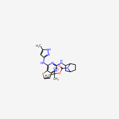 Cc1cc(Nc2nc(NC3CC4CCC3N4C(=O)OC(C)(C)C)nc3ccsc23)n[nH]1